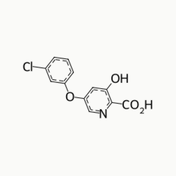 O=C(O)c1ncc(Oc2cccc(Cl)c2)cc1O